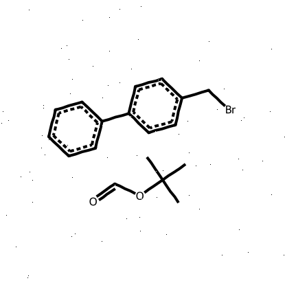 BrCc1ccc(-c2ccccc2)cc1.CC(C)(C)OC=O